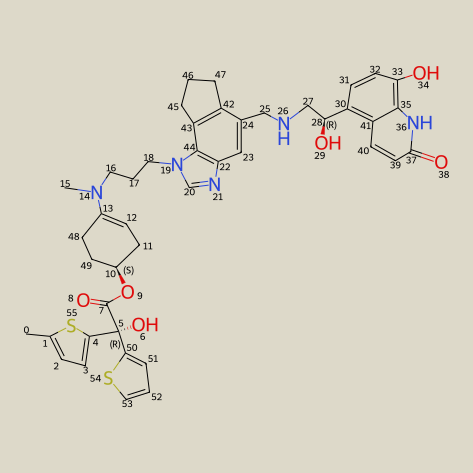 Cc1ccc([C@@](O)(C(=O)O[C@@H]2CC=C(N(C)CCCn3cnc4cc(CNC[C@H](O)c5ccc(O)c6[nH]c(=O)ccc56)c5c(c43)CCC5)CC2)c2cccs2)s1